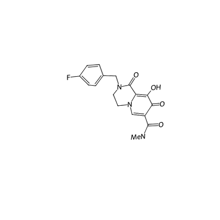 CNC(=O)c1cn2c(c(O)c1=O)C(=O)N(Cc1ccc(F)cc1)CC2